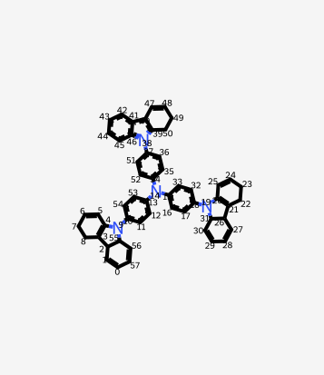 C1=CC2C3=C(C=CCC3)N(c3ccc(N(c4ccc(N5C6=C(CCC=C6)C6C=CC=CC65)cc4)c4ccc(-n5c6c(c7ccccc75)C=CCC6)cc4)cc3)C2C=C1